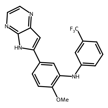 COc1ccc(-c2cc3nccnc3[nH]2)cc1Nc1cccc(C(F)(F)F)c1